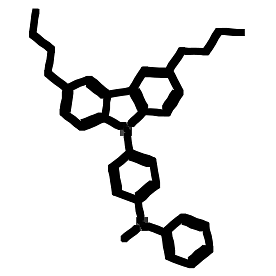 CCCCc1ccc2c(c1)c1cc(CCCC)ccc1n2-c1ccc(N(C)c2ccccc2)cc1